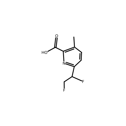 Cc1ccc(C(F)CF)nc1C(=O)O